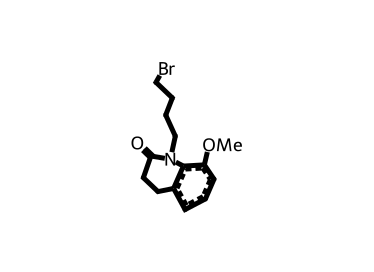 COc1cccc2c1N(CCCCBr)C(=O)CC2